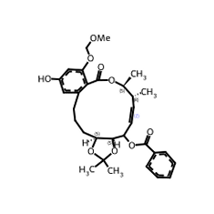 COCOc1cc(O)cc2c1C(=O)O[C@@H](C)[C@H](C)/C=C\C(OC(=O)c1ccccc1)[C@H]1OC(C)(C)O[C@H]1CCC2